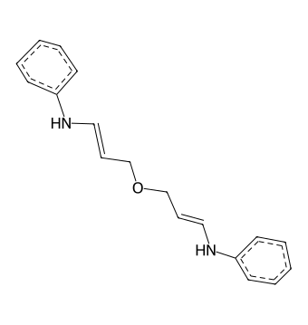 C(=CNc1ccccc1)COCC=CNc1ccccc1